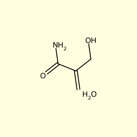 C=C(CO)C(N)=O.O